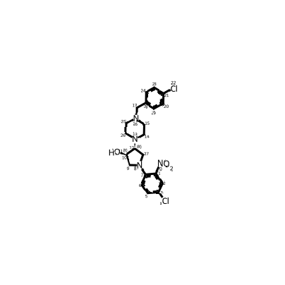 O=[N+]([O-])c1cc(Cl)ccc1N1C[C@@H](O)[C@H](N2CCN(Cc3ccc(Cl)cc3)CC2)C1